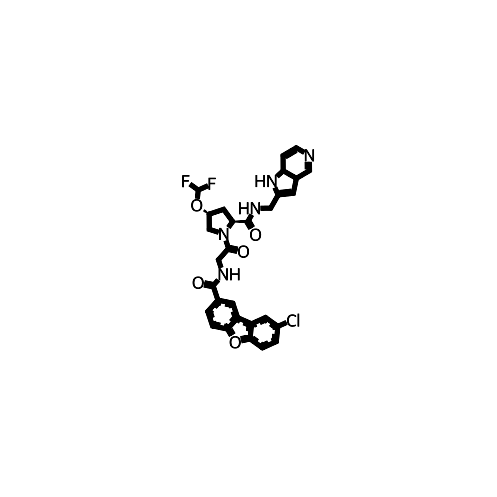 O=C(NCC(=O)N1C[C@H](OC(F)F)C[C@H]1C(=O)NCC1=CC2C=NC=CC2N1)c1ccc2oc3ccc(Cl)cc3c2c1